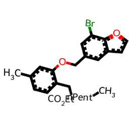 CCCCCC.CCOC(=O)Cc1ccc(C)cc1OCc1cc(Br)c2occc2c1